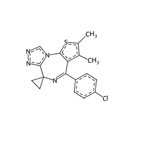 Cc1sc2c(c1C)C(c1ccc(Cl)cc1)=NC1(CC1)c1nncn1-2